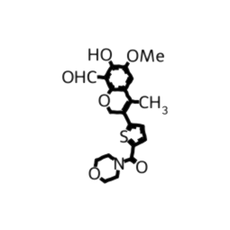 COc1cc2c(c(C=O)c1O)OCC(c1ccc(C(=O)N3CCOCC3)s1)=C2C